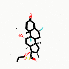 CCC(=O)O[C@]1(C(=O)S)[C@H](C)C[C@H]2C3C[C@H](F)C4=CC(=O)C=CC4(C)[C@@]3(F)[C@@H](O)C[C@@]21C